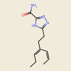 C/C=C\C(=C/CC)CCc1nnc(C(N)=O)[nH]1